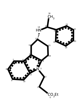 CCOC(=O)CCn1c2c(c3ccccc31)C[C@H](NC(C)c1ccccc1)CC2